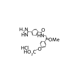 CO[C@H](CNC(=O)c1ccc(C(=N)N)cc1)c1ccc(OCC(=O)O)cc1.Cl